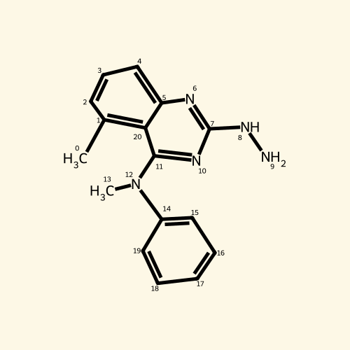 Cc1cccc2nc(NN)nc(N(C)c3ccccc3)c12